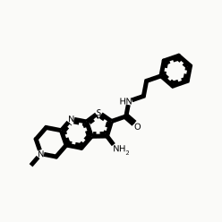 CN1CCc2nc3sc(C(=O)NCCc4ccccc4)c(N)c3cc2C1